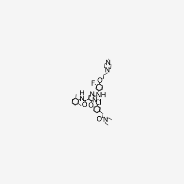 CCN(CC)C(=O)Cc1ccc(Oc2nc(Nc3ccc(OCCCN4CCN(C)CC4)c(F)c3)ncc2C(=O)Nc2c(C)cccc2C)c(Cl)c1